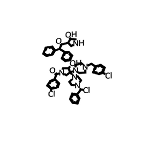 O=C(C(c1ccccc1)c1ccccc1)C1CNCC1O.O=C(c1ccc(Cl)cc1)N1CC(O)C(N2CCN(Cc3ccc(Cl)cc3)CC2)(N2CCN(C(Cl)c3ccccc3)CC2)C1